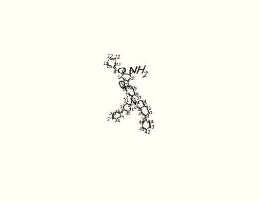 Nc1cc2c(cc1OCc1ccccc1)oc1cc(N(c3ccc(-c4ccccc4)cc3)c3ccc4ccc(-c5ccccc5)cc4c3)ccc12